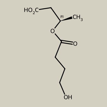 C[C@H](CC(=O)O)OC(=O)CCCO